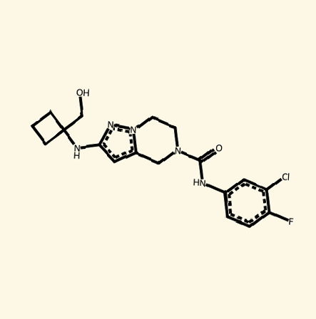 O=C(Nc1ccc(F)c(Cl)c1)N1CCn2nc(NC3(CO)CCC3)cc2C1